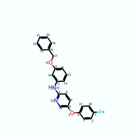 Fc1ccc(Oc2ccc(Nc3cccc(OCc4ccccc4)c3)nc2)cc1